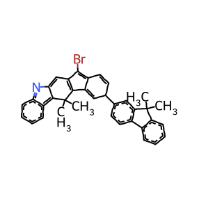 CC1(C)C2=C(C=C3N=c4ccccc4=C31)C(Br)=C1C=CC(c3ccc4c(c3)C(C)(C)c3ccccc3-4)C=C12